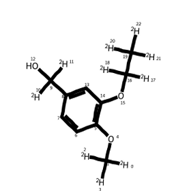 [2H]C([2H])([2H])Oc1ccc(C([2H])([2H])O)cc1OC([2H])([2H])C([2H])([2H])[2H]